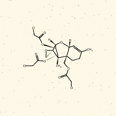 CC1=C[C@H]2O[C@@H]3[C@H](OC(=O)CCl)[C@@H](OC(=O)CCl)[C@](C)([C@@]2(COC(=O)CCl)CC1)[C@]31CO1